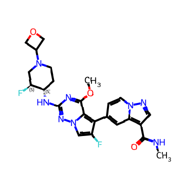 CNC(=O)c1cnn2ccc(-c3c(F)cn4nc(N[C@H]5CCN(C6COC6)C[C@@H]5F)nc(OC)c34)cc12